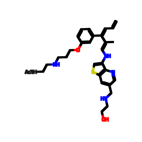 C=C/C=C(\C(C)=C\Nc1csc2cc(CNCCO)cnc12)c1cccc(OCCCNCCNC(C)=O)c1